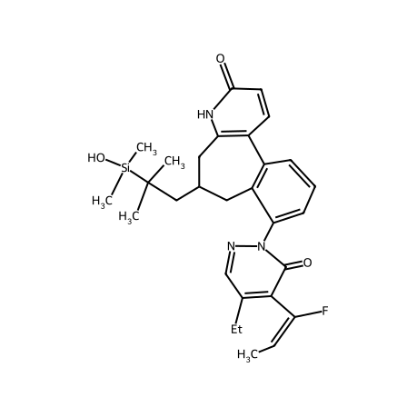 C/C=C(/F)c1c(CC)cnn(-c2cccc3c2CC(CC(C)(C)[Si](C)(C)O)Cc2[nH]c(=O)ccc2-3)c1=O